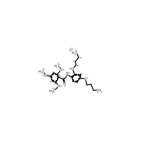 CCCCOc1ccc(PC(=O)c2c(OC)cc(OC)cc2OC)c(OCCCC)c1.[Li]